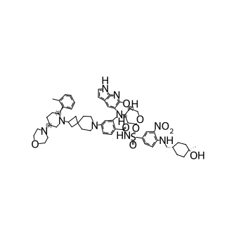 Cc1ccccc1[C@@H]1CC[C@@H](N2CCOCC2)CN1C1CC2(CCN(c3ccc(C(=O)NS(=O)(=O)c4ccc(NC[C@H]5CC[C@](C)(O)CC5)c([N+](=O)[O-])c4)c(N4c5cc6cc[nH]c6nc5O[C@H]5COCC[C@@H]54)c3)CC2)C1